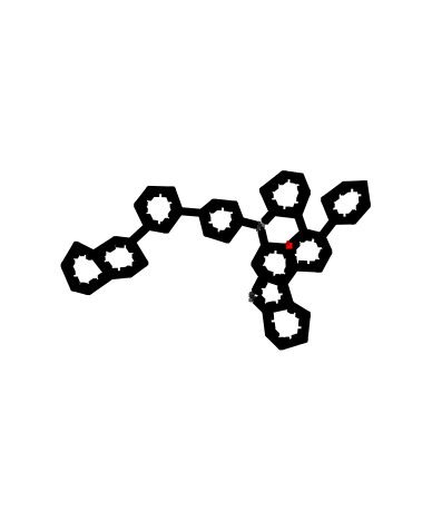 c1ccc(-c2ccccc2-c2ccccc2N(c2ccc(-c3cccc(-c4ccc5ccccc5c4)c3)cc2)c2ccc3c(c2)sc2ccccc23)cc1